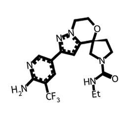 CCNC(=O)N1CC[C@]2(C1)OCCn1nc(-c3cnc(N)c(C(F)(F)F)c3)cc12